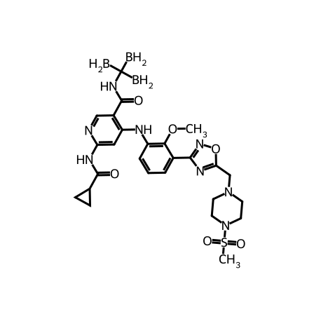 BC(B)(B)NC(=O)c1cnc(NC(=O)C2CC2)cc1Nc1cccc(-c2noc(CN3CCN(S(C)(=O)=O)CC3)n2)c1OC